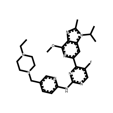 CCN1CCN(Cc2ccc(Nc3ncc(F)c(-c4cc5c(nc(C)n5C(C)C)c(OC)n4)n3)nc2)CC1